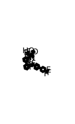 O=C(O)c1cnn(-c2cccc(-c3ccccc3OC(F)(F)c3ccc(C4CCC(C(F)(F)F)CC4)cc3)n2)c1C(F)(F)F